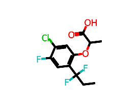 CCC(F)(F)c1cc(F)c(Cl)cc1OC(C)C(=O)O